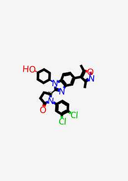 Cc1noc(C)c1-c1ccc2c(c1)nc([C@@H]1CCC(=O)N1c1ccc(Cl)c(Cl)c1)n2[C@H]1CC[C@H](O)CC1